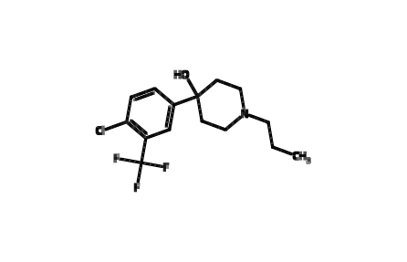 CCCN1CCC(O)(c2ccc(Cl)c(C(F)(F)F)c2)CC1